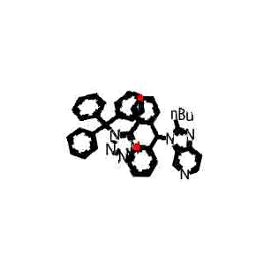 CCCCc1nc2ccncc2n1C(c1ccccc1)c1ccccc1-c1nnnn1C(c1ccccc1)(c1ccccc1)c1ccccc1